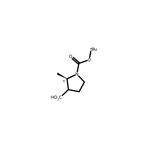 C[C@@H]1C(C(=O)O)CCN1C(=O)OC(C)(C)C